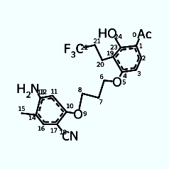 CC(=O)c1ccc(OCCCOc2cc(N)c(C)cc2C#N)c(CCC(F)(F)F)c1O